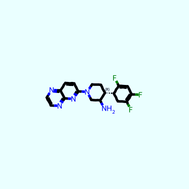 NC1CN(c2ccc3nccnc3n2)CC[C@@H]1C1CC(F)=C(F)C=C1F